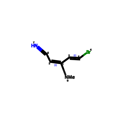 CNC(/C=C/Br)=C/C=N